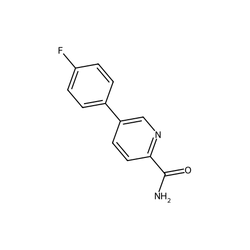 NC(=O)c1ccc(-c2ccc(F)cc2)cn1